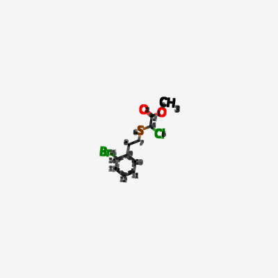 COC(=O)C(Cl)SCCc1ccccc1Br